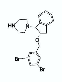 Brc1cc(Br)cc(CO[C@H]2Cc3ccccc3[C@H]2N2CCNCC2)c1